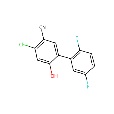 N#Cc1cc(-c2cc(F)ccc2F)c(O)cc1Cl